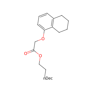 CCCCCCCCCCCCOC(=O)COc1cccc2c1CCCC2